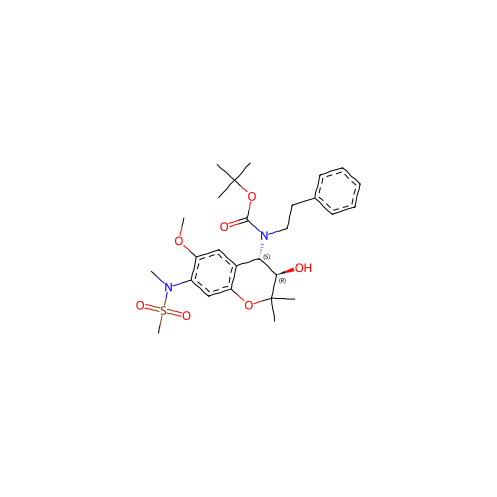 COc1cc2c(cc1N(C)S(C)(=O)=O)OC(C)(C)[C@H](O)[C@H]2N(CCc1ccccc1)C(=O)OC(C)(C)C